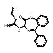 N=COC(=N)NC1N=C(c2ccccc2)c2ccccc2NC1=O